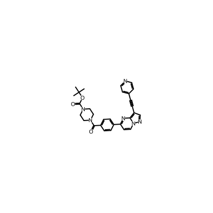 CC(C)(C)OC(=O)N1CCN(C(=O)c2ccc(-c3ccn4ncc(C#Cc5ccncc5)c4n3)cc2)CC1